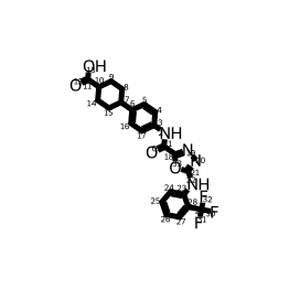 O=C(Nc1ccc(C2CCC(C(=O)O)CC2)cc1)c1nnc(Nc2ccccc2C(F)(F)F)o1